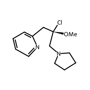 CO[C@](Cl)(Cc1ccccn1)CN1CCCC1